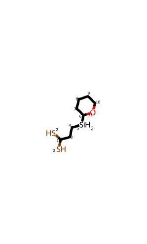 SC(S)CC[SiH2]C1CCCCO1